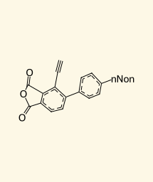 C#Cc1c(-c2ccc(CCCCCCCCC)cc2)ccc2c1C(=O)OC2=O